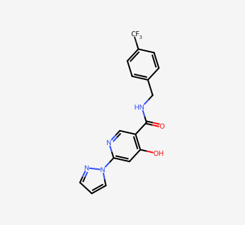 O=C(NCc1ccc(C(F)(F)F)cc1)c1cnc(-n2cccn2)cc1O